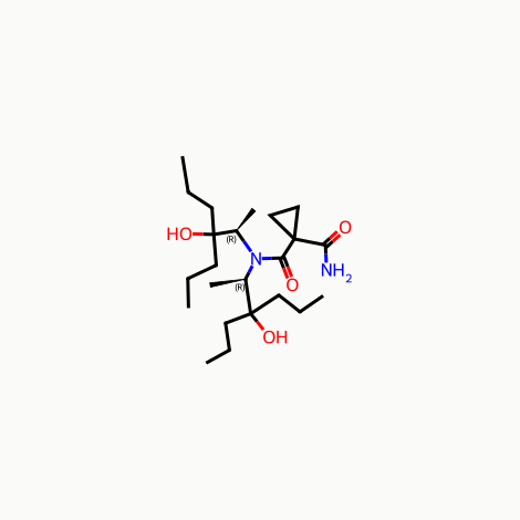 CCCC(O)(CCC)[C@@H](C)N(C(=O)C1(C(N)=O)CC1)[C@H](C)C(O)(CCC)CCC